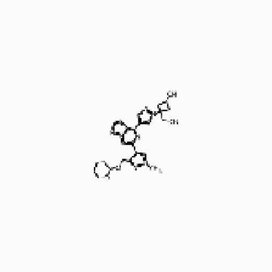 Cn1cc(-c2cn3nccc3c(-c3cnn([C@]4(CC#N)C[C@@H](C#N)C4)c3)n2)c(COC2CCCCO2)n1